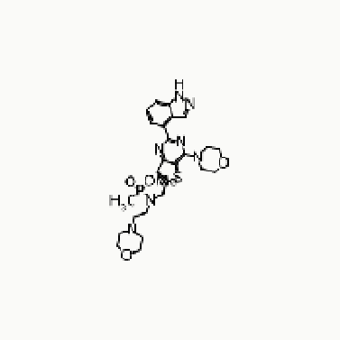 COP(C)(=O)N(CCN1CCOCC1)Cc1cc2nc(-c3cccc4[nH]ncc34)nc(N3CCOCC3)c2s1